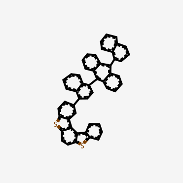 c1ccc2c(-c3c4ccccc4c(-c4ccc(-c5ccc6sc7ccc8sc9ccccc9c8c7c6c5)c5ccccc45)c4ccccc34)cccc2c1